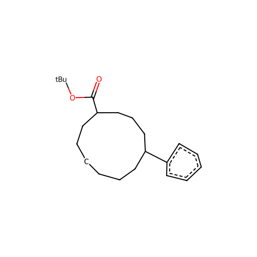 CC(C)(C)OC(=O)C1CCCCCCC(c2ccccc2)CCC1